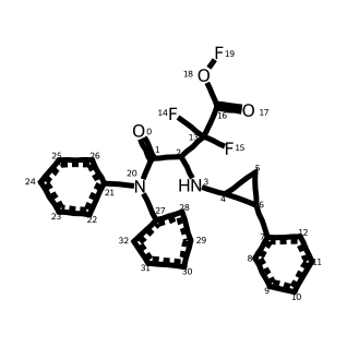 O=C(C(NC1CC1c1ccccc1)C(F)(F)C(=O)OF)N(c1ccccc1)c1ccccc1